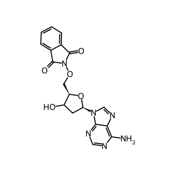 Nc1ncnc2c1ncn2[C@H]1CC(O)[C@@H](CON2C(=O)c3ccccc3C2=O)O1